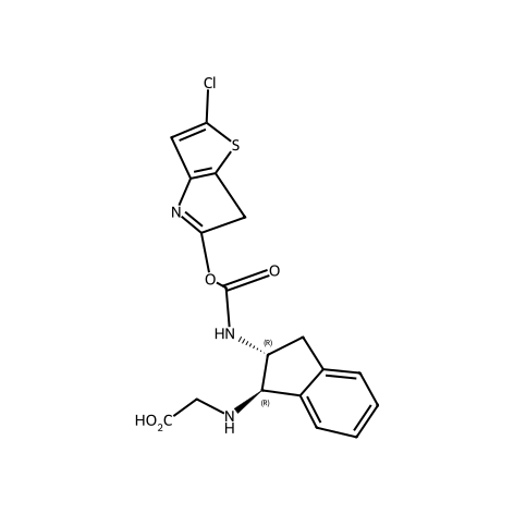 O=C(O)CN[C@@H]1c2ccccc2C[C@H]1NC(=O)OC1=Nc2cc(Cl)sc2C1